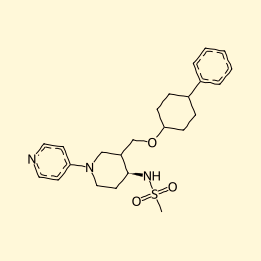 CS(=O)(=O)N[C@H]1CCN(c2ccncc2)CC1COC1CCC(c2ccccc2)CC1